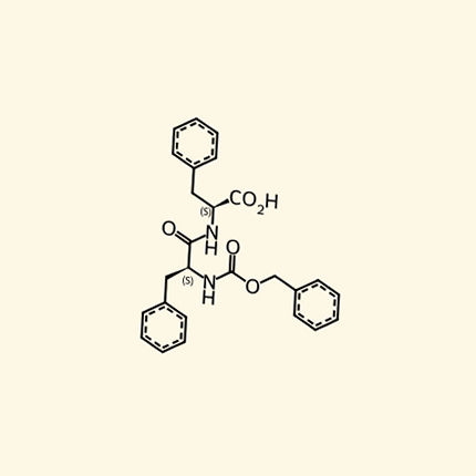 O=C(N[C@@H](Cc1ccccc1)C(=O)N[C@@H](Cc1ccccc1)C(=O)O)OCc1ccccc1